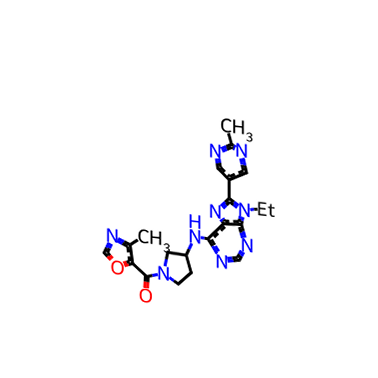 CCn1c(-c2cnc(C)nc2)nc2c(NC3CCN(C(=O)c4ocnc4C)C3)ncnc21